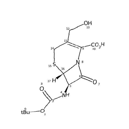 CC(C)(C)OC(=O)N[C@@H]1C(=O)N2C(C(=O)O)=C(CO)CS[C@@H]12